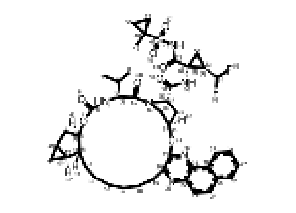 CC(C)[C@@H]1NC(=O)O[C@@H]2CC3C[C@@H]3[C@H]2CCCCCCc2nc3ccc4ccccc4c3nc2O[C@@H]2C[C@@H](C(=O)N[C@]3(C(=O)NS(=O)(=O)C4(C)CC4)C[C@H]3C(F)F)N(C2)C1=O